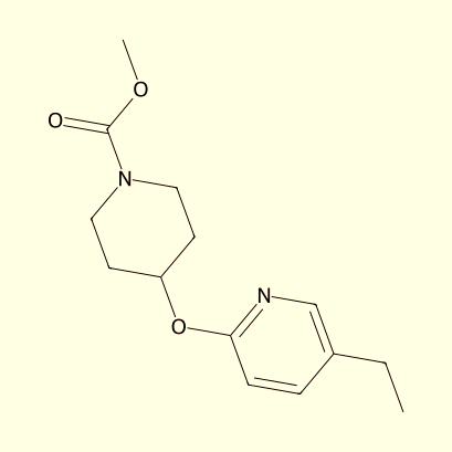 CCc1ccc(OC2CCN(C(=O)OC)CC2)nc1